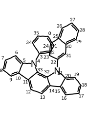 c1ccc(-n2c3ccccc3c3ccc4c5ccccc5n(-c5ccc6ccccc6c5)c4c32)cc1